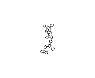 Fc1c(F)c(-n2c3ccccc3c3c(-c4ccc(-c5cc(-c6cccc(-n7c8ccccc8c8ccccc87)c6)cc(-c6ccccc6)n5)cc4)cccc32)c(F)c(F)c1-c1nc(-c2ccccc2)nc(-c2ccccc2)n1